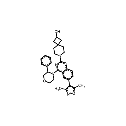 Cc1noc(C)c1-c1ccc2nc(N3CCC4(CC3)CC(O)C4)nc(N3CCOCC3c3ccccc3)c2c1